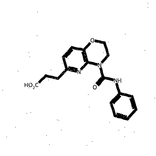 O=C(O)CCc1ccc2c(n1)N(C(=O)Nc1ccccc1)CCO2